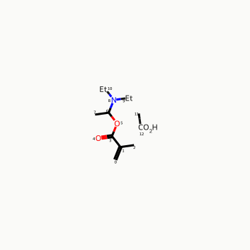 C=C(C)C(=O)OC(C)N(CC)CC.CC(=O)O